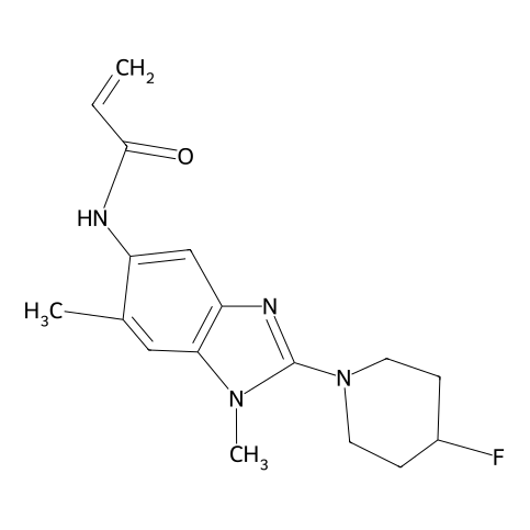 C=CC(=O)Nc1cc2nc(N3CCC(F)CC3)n(C)c2cc1C